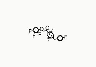 C[C@@H]1CN(C(=O)COc2ccc(F)c(F)c2F)[C@@H](C)CN1Cc1ccc(F)cc1